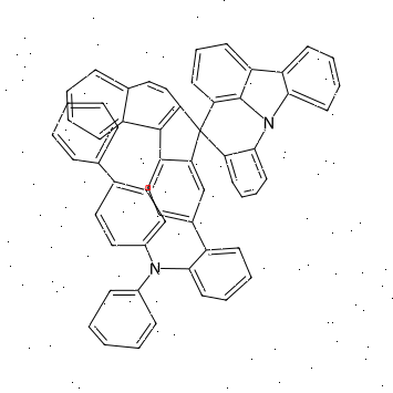 c1ccc(-c2ccc(N(c3ccccc3)c3ccccc3-c3ccc4c(c3)C3(c5ccccc5-n5c6ccccc6c6cccc3c65)c3ccc5ccccc5c3-4)cc2)cc1